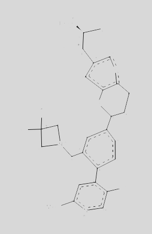 COc1cc(-c2ccc(C3CCc4ccc([C@H](O)[C@H](C)C(=O)O)cc4O3)cc2CN2CC(F)(F)C2)c(F)cn1